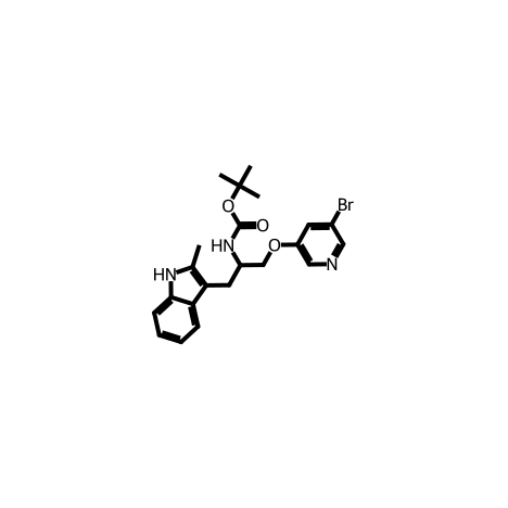 Cc1[nH]c2ccccc2c1CC(COc1cncc(Br)c1)NC(=O)OC(C)(C)C